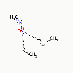 C=CC/C=C\CCCCCCCCN(CCCCCCCC/C=C\C/C=C\CCCCC)C(=O)OCCN1CCN(C)CC1